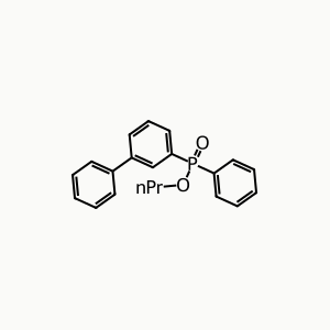 CCCOP(=O)(c1ccccc1)c1cccc(-c2ccccc2)c1